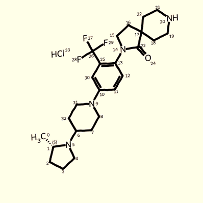 C[C@H]1CCCN1C1CCN(c2ccc(N3CCC4(CCNCC4)C3=O)c(C(F)(F)F)c2)CC1.Cl